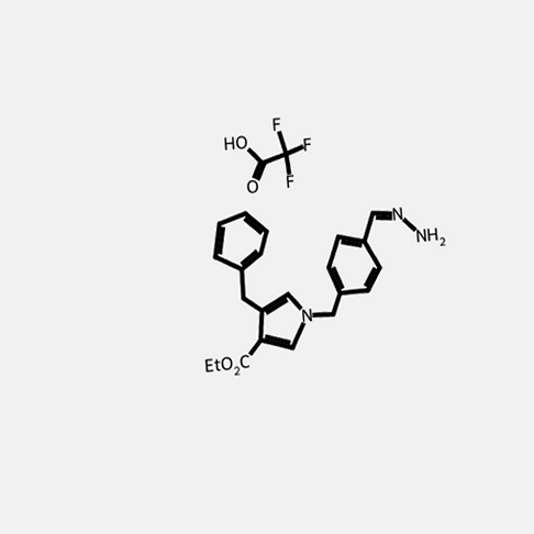 CCOC(=O)c1cn(Cc2ccc(/C=N\N)cc2)cc1Cc1ccccc1.O=C(O)C(F)(F)F